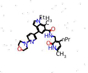 CCCc1cc(C)[nH]c(=O)c1CNC(=O)c1cc(-c2ccc(N3CCOCC3)nc2)c2ccn(CC)c2c1C